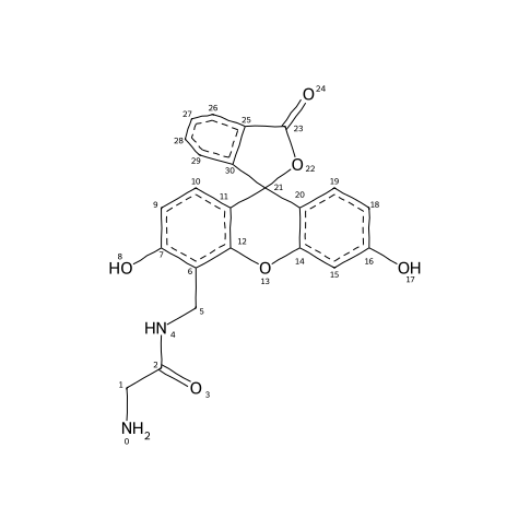 NCC(=O)NCc1c(O)ccc2c1Oc1cc(O)ccc1C21OC(=O)c2ccccc21